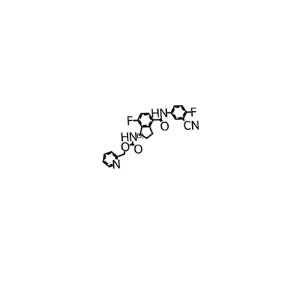 N#Cc1cc(NC(=O)c2ccc(F)c3c2CC[C@@H]3NC(=O)OCc2ccccn2)ccc1F